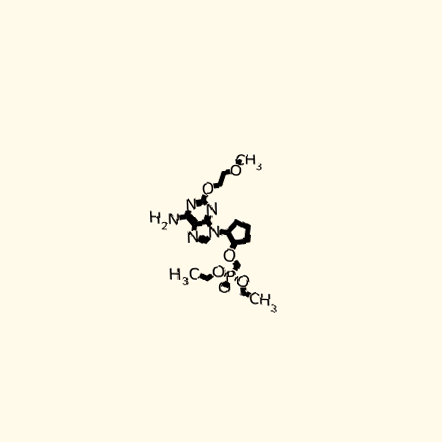 CCOP(=O)(COC1CCCC1n1cnc2c(N)nc(OCCOC)nc21)OCC